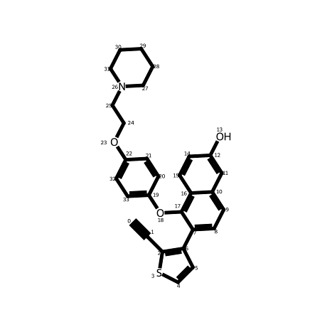 C#Cc1sccc1-c1ccc2cc(O)ccc2c1Oc1ccc(OCCN2CCCCC2)cc1